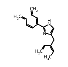 C=C/C=C\C(=C/C=C)c1nc(C/C(C=C)=C/C)c[nH]1